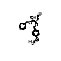 COc1ccc(CO[C@H](CC=O)[C@@H](C)OCc2ccccc2)cc1